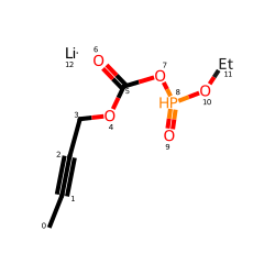 CC#CCOC(=O)O[PH](=O)OCC.[Li]